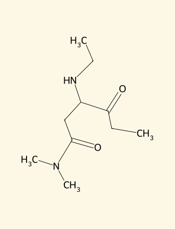 CCNC(CC(=O)N(C)C)C(=O)CC